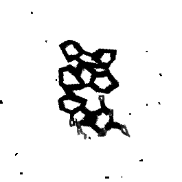 Cc1ccc(-c2cccc3c2-c2ccccc2C32c3ccccc3-c3ccccc32)cc1-c1c(C)nc(Cl)nc1Cl